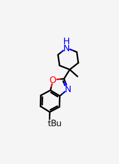 CC(C)(C)c1ccc2oc(C3(C)CCNCC3)nc2c1